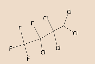 FC(F)(F)C(F)(Cl)C(Cl)(Cl)C(Cl)Cl